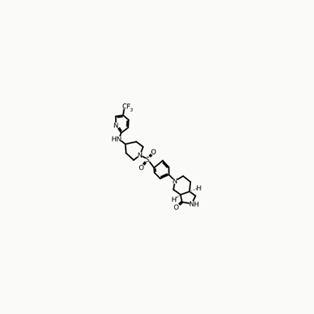 O=C1NC[C@@H]2CCN(c3ccc(S(=O)(=O)N4CCC(Nc5ccc(C(F)(F)F)cn5)CC4)cc3)C[C@H]12